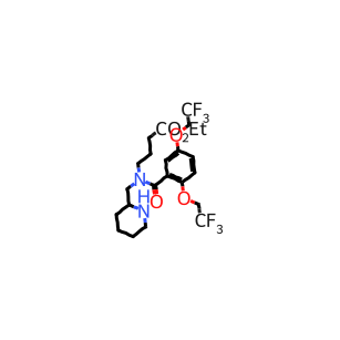 CCOC(=O)CCCN(CC1CCCCN1)C(=O)c1cc(OCC(F)(F)F)ccc1OCC(F)(F)F